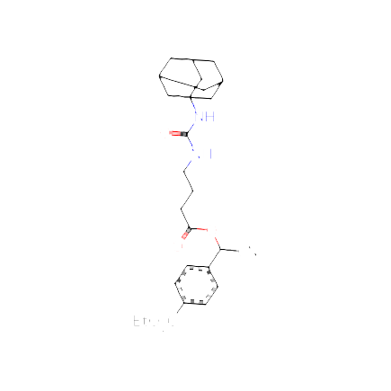 CCOC(=O)c1ccc(C(C#N)OC(=O)CCCNC(=O)NC23CC4CC(CC(C4)C2)C3)cc1